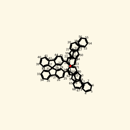 C1=C(c2ccccc2)CCC(N(c2ccc(-c3ccccc3)cc2)c2ccc3c(c2)C2(c4ccccc4-3)c3ccccc3-c3ccc(N(c4ccc(-c5ccccc5)cc4)c4ccc(-c5ccccc5)cc4)cc32)=C1